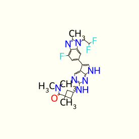 Cc1nc2c(F)cc(-c3c[nH]c4nc(NC5CC(C)(C(=O)N(C)C)C5)ncc34)cc2n1CC(F)F